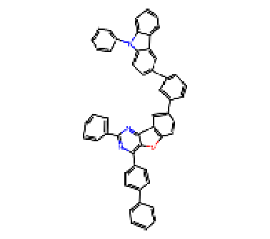 c1ccc(-c2ccc(-c3nc(-c4ccccc4)nc4c3oc3ccc(-c5cccc(-c6ccc7c(c6)c6ccccc6n7-c6ccccc6)c5)cc34)cc2)cc1